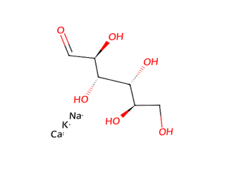 O=C[C@@H](O)[C@@H](O)[C@H](O)[C@H](O)CO.[Ca].[K].[Na]